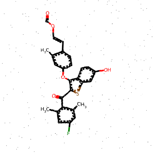 Cc1cc(Oc2c(C(=O)c3c(C)cc(F)cc3C)sc3cc(O)ccc23)ccc1/C=C/OC=O